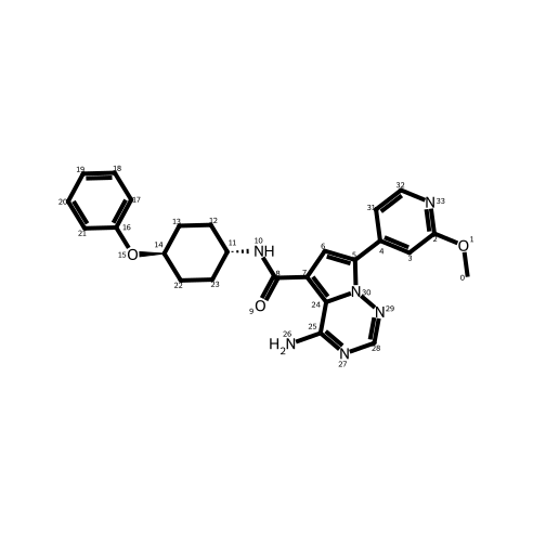 COc1cc(-c2cc(C(=O)N[C@H]3CC[C@H](Oc4ccccc4)CC3)c3c(N)ncnn23)ccn1